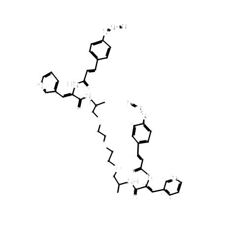 CC(COCCOCCOCC(C)NC(=O)/C(=C/c1cccnc1)NC(=O)/C=C/c1ccc(N=[N+]=[N-])cc1)NC(=O)/C(=C/c1cccnc1)NC(=O)/C=C/c1ccc(N=[N+]=[N-])cc1